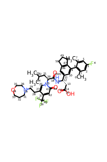 Cc1cc(F)cc(C)c1-c1cc([C@H](CC(=O)O)NC(=O)[C@H](CC(C)C)n2cc(CCN3CCCOCC3)c(C(F)(F)F)cc2=O)cc2c1CCC2